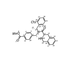 COC(=O)c1ccc(CN(C(=O)C2Cc3ccccc3CN2)[C@H](C)c2ccccc2Cl)cc1